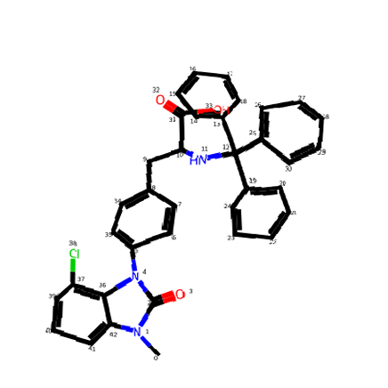 Cn1c(=O)n(-c2ccc(CC(NC(c3ccccc3)(c3ccccc3)c3ccccc3)C(=O)O)cc2)c2c(Cl)cccc21